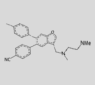 CNCCN(C)Cc1coc2cc(-c3ccc(C)cc3)c(-c3ccc(C#N)cc3)cc12